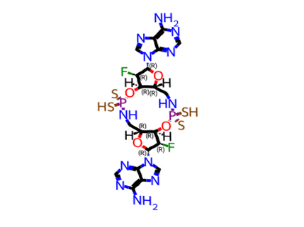 Nc1ncnc2c1ncn2[C@@H]1O[C@@H]2CNP(=S)(S)O[C@H]3[C@@H](F)[C@H](n4cnc5c(N)ncnc54)O[C@@H]3CNP(=S)(S)O[C@H]2[C@H]1F